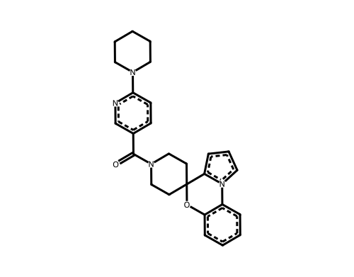 O=C(c1ccc(N2CCCCC2)nc1)N1CCC2(CC1)Oc1ccccc1-n1cccc12